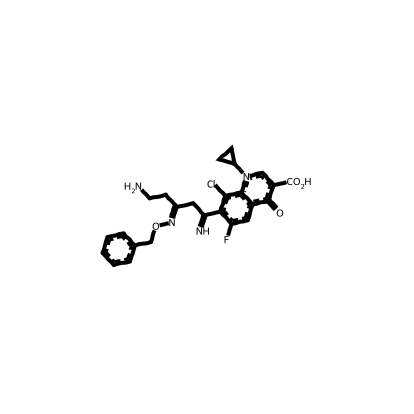 N=C(CC(CCN)=NOCc1ccccc1)c1c(F)cc2c(=O)c(C(=O)O)cn(C3CC3)c2c1Cl